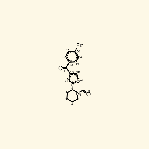 O=CN1CCCCC1c1nc(C(=O)c2ccc(F)cc2)cs1